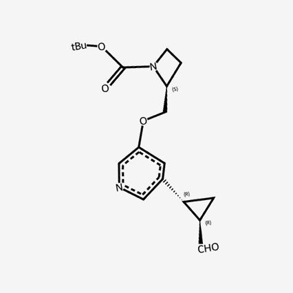 CC(C)(C)OC(=O)N1CC[C@H]1COc1cncc([C@@H]2C[C@H]2C=O)c1